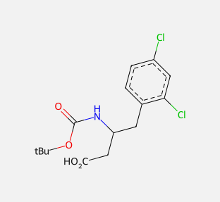 CC(C)(C)OC(=O)NC(CC(=O)O)Cc1ccc(Cl)cc1Cl